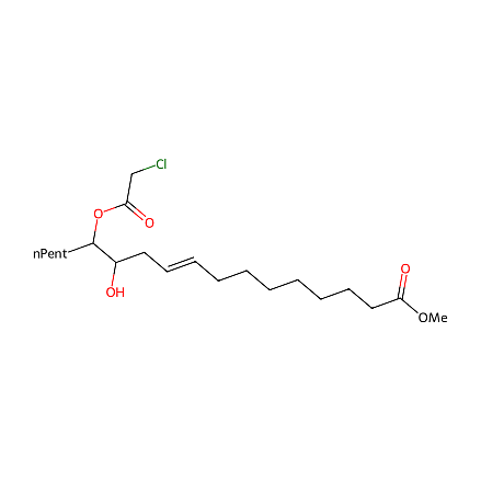 CCCCCC(OC(=O)CCl)C(O)CC=CCCCCCCCC(=O)OC